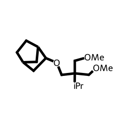 COCC(COC)(COC1CC2CCC1C2)C(C)C